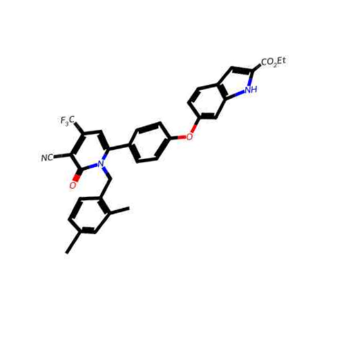 CCOC(=O)c1cc2ccc(Oc3ccc(-c4cc(C(F)(F)F)c(C#N)c(=O)n4Cc4ccc(C)cc4C)cc3)cc2[nH]1